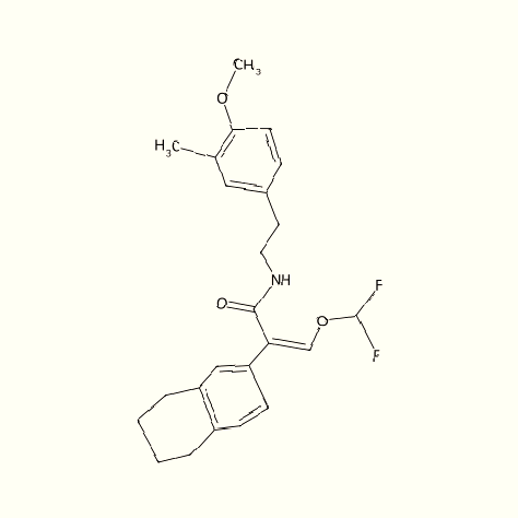 COc1ccc(CCNC(=O)C(=COC(F)F)c2ccc3c(c2)CCCC3)cc1C